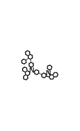 c1ccc(-c2c(-c3ccc(N(c4ccc(-c5ccc6c7ccc8ccccc8c7n(-c7ccccc7)c6c5)cc4)c4cc5ccccc5c5ccccc45)cc3)ccc3ccccc23)cc1